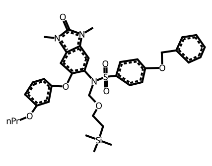 CCCOc1cccc(Oc2cc3c(cc2N(COCC[Si](C)(C)C)S(=O)(=O)c2ccc(OCc4ccccc4)cc2)n(C)c(=O)n3C)c1